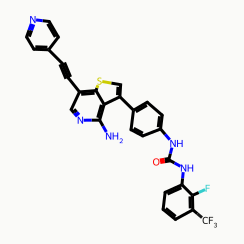 Nc1ncc(C#Cc2ccncc2)c2scc(-c3ccc(NC(=O)Nc4cccc(C(F)(F)F)c4F)cc3)c12